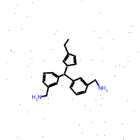 CCC1=C[C](C(c2cccc(CN)c2)c2cccc(CN)c2)C=C1